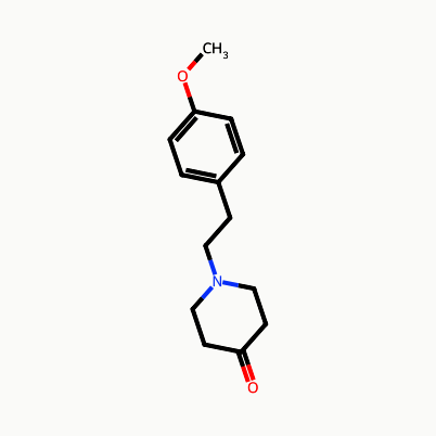 COc1ccc(CCN2CCC(=O)CC2)cc1